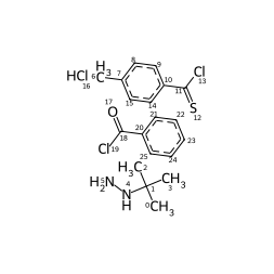 CC(C)(C)NN.Cc1ccc(C(=S)Cl)cc1.Cl.O=C(Cl)c1ccccc1